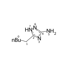 CCCCCc1nc(N)n[nH]1